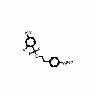 CCCCCc1ccc(CCOC(F)(F)c2ccc(CCC)cc2F)cc1